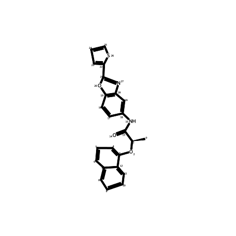 C[C@@H](Oc1cccc2ccccc12)C(=O)Nc1ccc2oc(-c3cccs3)nc2c1